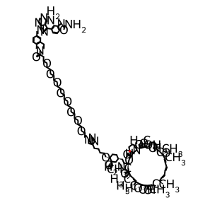 CO[C@H]1C[C@@H]2CC[C@@H](C)[C@@](O)(O2)C(=O)C(=O)N2CCCC[C@H]2C(=O)O[C@H]([C@H](N)C[C@@H]2CC[C@@H](OCCCCc3cn(CCOCCOCCOCCOCCOCCOCCOCCOCCC(=O)N4CCc5cc(Cn6nc(-c7ccc8oc(N)nc8c7)c7c(N)ncnc76)ccc5C4)nn3)[C@H](OC)C2)CC(=O)[C@H](C)/C=C(\C)[C@@H](O)[C@@H](O)C(=O)[C@H](C)C[C@H](C)/C=C/C=C/C=C/1C